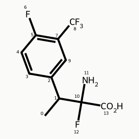 CC(c1ccc(F)c(C(F)(F)F)c1)C(N)(F)C(=O)O